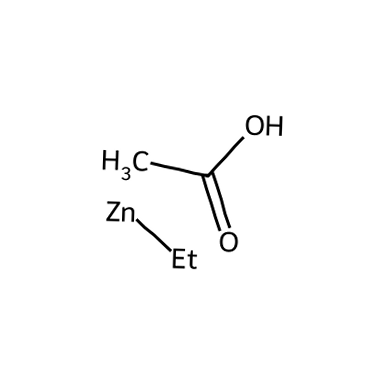 CC(=O)O.C[CH2][Zn]